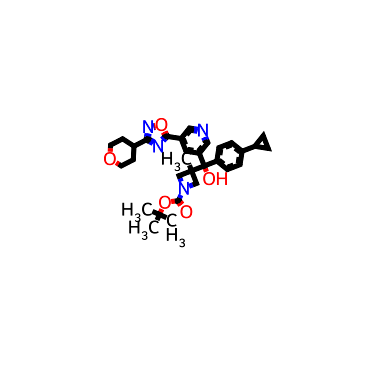 CC(C)(C)OC(=O)N1CC(C)(C(O)(c2ccc(C3CC3)cc2)c2cncc(-c3nc(C4CCOCC4)no3)c2)C1